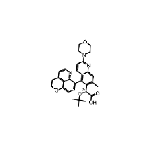 Cc1cc2nc(N3CCOCC3)ccc2c(-c2ccc3c4c(ccnc24)CCO3)c1[C@H](OC(C)(C)C)C(=O)O